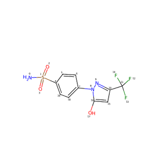 NS(=O)(=O)c1ccc(-n2nc(C(F)(F)F)cc2O)cc1